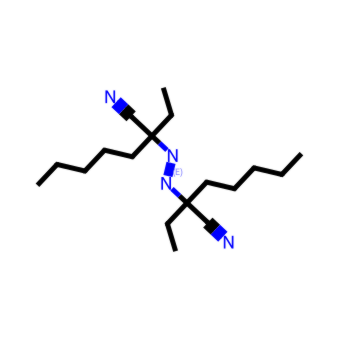 CCCCCC(C#N)(CC)/N=N/C(C#N)(CC)CCCCC